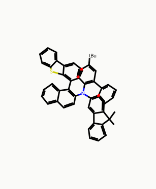 CC(C)(C)c1ccc(N(c2ccc3c(c2)-c2ccccc2C3(C)C)c2ccc3ccccc3c2-c2cccc3c2sc2ccccc23)c(-c2ccccc2)c1